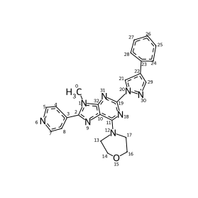 Cn1c(-c2ccncc2)nc2c(N3CCOCC3)nc(-n3cc(-c4ccccc4)cn3)nc21